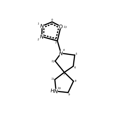 c1nnc(N2CCC3(CCNC3)C2)o1